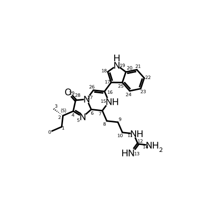 CC[C@H](C)C1=NC2C(CCCNC(=N)N)NC(c3c[nH]c4ccccc34)=CN2C1=O